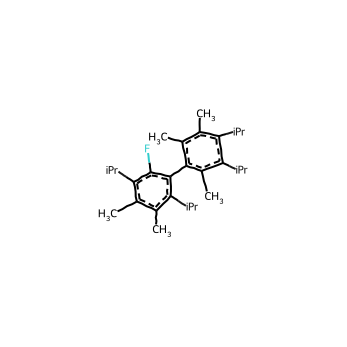 Cc1c(C)c(C(C)C)c(C(C)C)c(C)c1-c1c(F)c(C(C)C)c(C)c(C)c1C(C)C